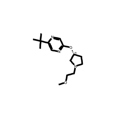 COCCN1CC[C@@H](Oc2cnc(C(C)(C)C)cn2)C1